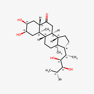 CC(C)[C@H](C)[C@H](O)[C@@H](O)[C@@H](C)[C@H]1CC[C@H]2[C@@H]3CC(=O)[C@H]4C[C@H](O)[C@H](O)C[C@]4(C)[C@H]3CC[C@]12C